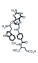 C.NC(Cc1c[nH]c2ccccc12)C(=O)O.Nc1nc2ncc(CNc3ccc(C(=O)NC(CCC(=O)O)C(=O)O)cc3)nc2c(=O)[nH]1